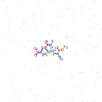 CCOC(=O)C(C#N)=CNc1ccc([N+](=O)[O-])cc1C(=O)N(C)C